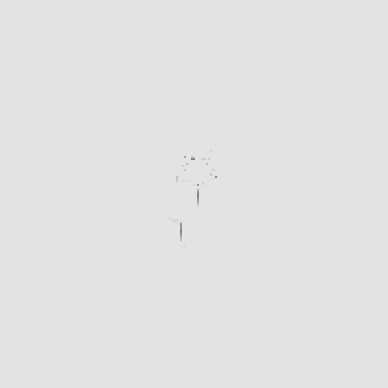 N#Cc1c[nH]c(SC(N)=O)c1